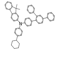 CC1(C)c2ccccc2-c2ccc(N(c3ccc(-c4ccc(-c5ccccc5)cc4-c4ccccc4)cc3)c3ccc(C4CCCCC4)cc3)cc21